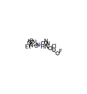 CCN(CCO/N=C/c1ccc2ncnc(Nc3ccc(OCc4cccc(F)c4)c(Cl)c3)c2c1)C(=O)OC(C)(C)C